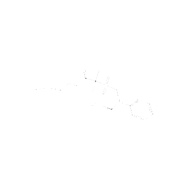 CC(C)(C(=O)NCCS(=O)(=O)O)S(=O)(=O)CC(CC(=O)O)c1ccccc1